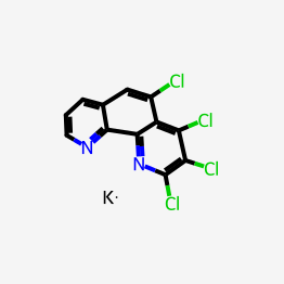 Clc1nc2c(c(Cl)cc3cccnc32)c(Cl)c1Cl.[K]